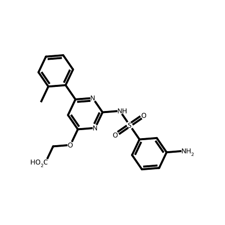 Cc1ccccc1-c1cc(OCC(=O)O)nc(NS(=O)(=O)c2cccc(N)c2)n1